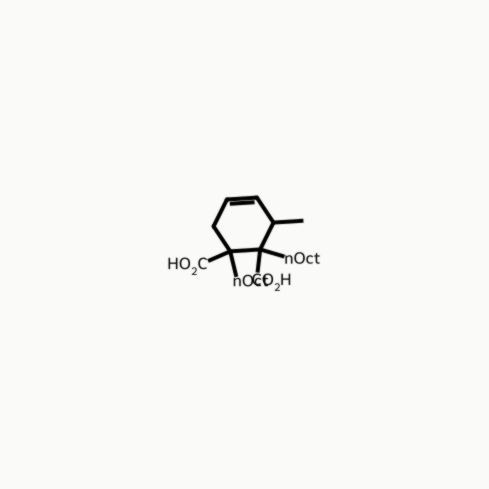 CCCCCCCCC1(C(=O)O)CC=CC(C)C1(CCCCCCCC)C(=O)O